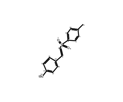 Cc1ccc(S(=O)(=O)/C=C/c2ccc(C(C)(C)C)cc2)cc1